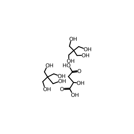 O=C(O)CC(O)C(=O)O.OCC(CO)(CO)CO.OCC(CO)(CO)CO